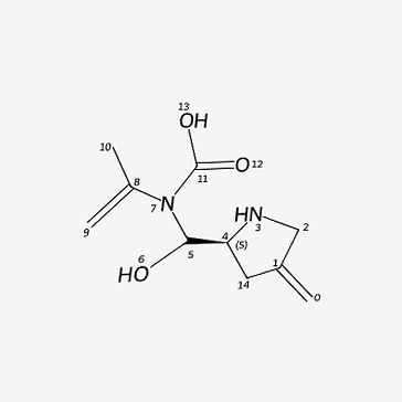 C=C1CN[C@H](C(O)N(C(=C)C)C(=O)O)C1